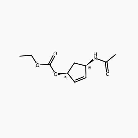 CCOC(=O)O[C@@H]1C=C[C@H](NC(C)=O)C1